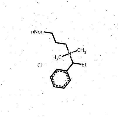 CCCCCCCCCCCC[N+](C)(C)C(CC)c1ccccc1.[Cl-]